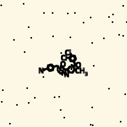 C[C@@H]1Cc2nn3c(c2CN1C(=O)c1ccc(Cl)c(Cl)c1)C(=O)N(Cc1ccc(C#N)cc1)CC3